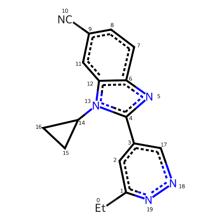 CCc1cc(-c2nc3ccc(C#N)cc3n2C2CC2)cnn1